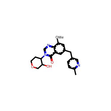 COc1cc(Cc2ccc(C)nc2)cc2c(=O)n(C3CCOCC3O)cnc12